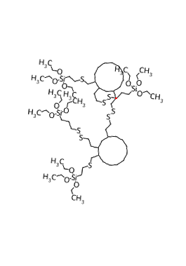 CCO[Si](CCCSSCCC1CC(CCSSCCC2CCCCCCCCC(CSCC[Si](OCC)(OCC)OCC)C(CCSSCCC[Si](OCC)(OCC)OCC)C2)CCCCCCCCC1CSCC[Si](OCC)(OCC)OCC)(OCC)OCC